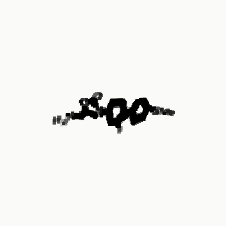 CSc1ccc(-c2ccc(N3CC(CN)OC3=O)cc2F)cc1